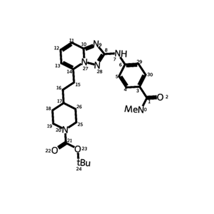 CNC(=O)c1ccc(Nc2nc3cccc(CCC4CCN(C(=O)OC(C)(C)C)CC4)n3n2)cc1